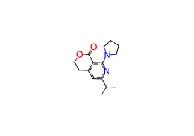 CC(C)c1cc2c(c(N3CCCC3)n1)C(=O)OCC2